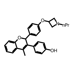 CCCN1CC(Oc2ccc(C3Oc4ccccc4C(C)=C3c3ccc(O)cc3)cc2)C1